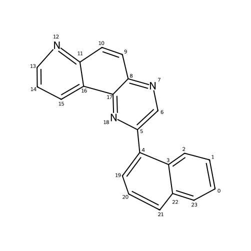 c1ccc2c(-c3cnc4ccc5ncccc5c4n3)cccc2c1